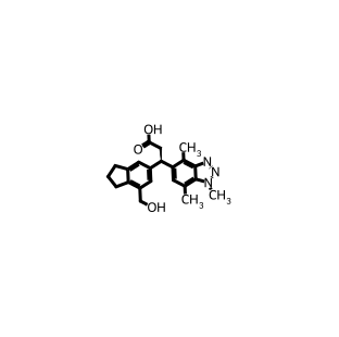 Cc1c([C@H](CC(=O)O)c2cc(CO)c3c(c2)CCC3)cc(C)c2c1nnn2C